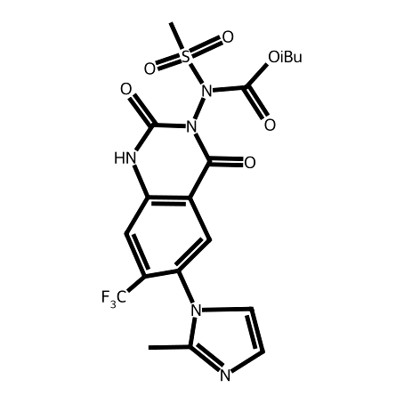 Cc1nccn1-c1cc2c(=O)n(N(C(=O)OCC(C)C)S(C)(=O)=O)c(=O)[nH]c2cc1C(F)(F)F